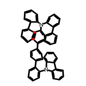 c1ccc(-c2ccccc2N(c2ccc(-c3ccc(-c4ccccc4-n4c5ccccc5c5ccccc54)cc3)cc2)c2ccccc2-c2ccccc2)cc1